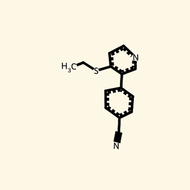 CCSc1ccncc1-c1ccc(C#N)cc1